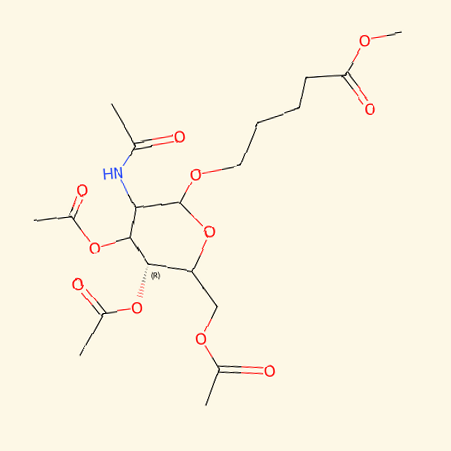 COC(=O)CCCCOC1OC(COC(C)=O)[C@H](OC(C)=O)C(OC(C)=O)C1NC(C)=O